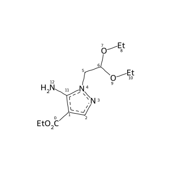 CCOC(=O)c1cnn(CC(OCC)OCC)c1N